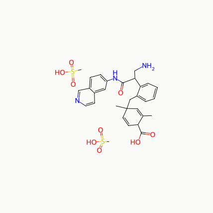 CC1=CC(C)(Cc2ccccc2C(CN)C(=O)Nc2ccc3cnccc3c2)C=CC1C(=O)O.CS(=O)(=O)O.CS(=O)(=O)O